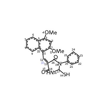 COc1cc(OC)c2ccccc2c1/C=C1/C(=O)NC(S)N(c2ccccc2)C1=O